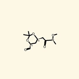 CON(C)C(=O)C[C@H]1C[C@@H](C=O)OC(C)(C)O1